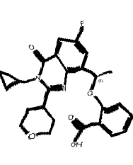 C[C@@H](Oc1ccccc1C(=O)O)c1cc(F)cc2c(=O)n(C3CC3)c(C3CCOCC3)nc12